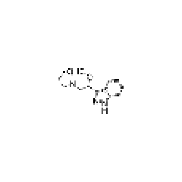 O=COC(CN1CCCC1)c1n[nH]c2ccccc12